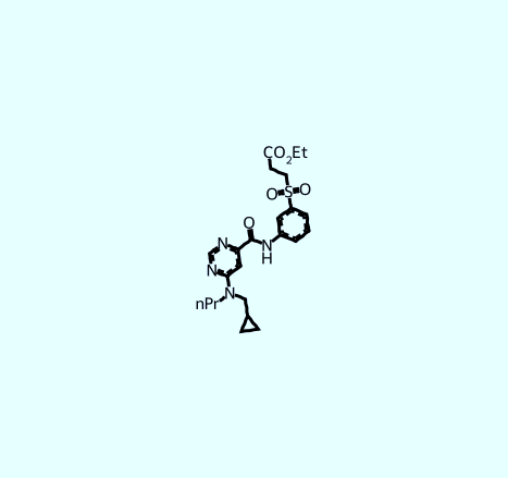 CCCN(CC1CC1)c1cc(C(=O)Nc2cccc(S(=O)(=O)CCC(=O)OCC)c2)ncn1